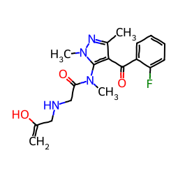 C=C(O)CNCC(=O)N(C)c1c(C(=O)c2ccccc2F)c(C)nn1C